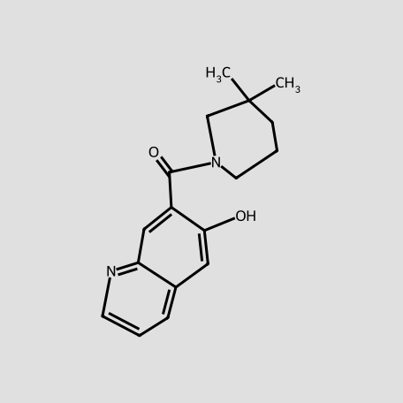 CC1(C)CCCN(C(=O)c2cc3ncccc3cc2O)C1